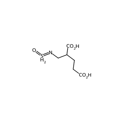 O=[SH2]=NCC(CCC(=O)O)C(=O)O